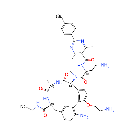 Cc1nc(-c2ccc(C(C)(C)C)cc2)nc(C)c1C(=O)N[C@@H](CCN)C(=O)N(C)[C@@H]1C(=O)N[C@@H](C)C(=O)N[C@H](C(=O)NCC#N)Cc2ccc(N)c(c2)-c2cc1ccc2OCCN